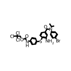 CC(C)N(C(=O)c1ccc(Sc2ccc(NC(=O)OCC(Cl)(Cl)Cl)cc2)c(N)c1)c1ccc(Br)cc1